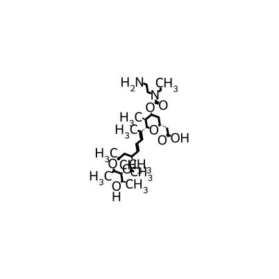 CCN(CCN)C(=O)O[C@@H]1C[C@H](CC(=O)O)O[C@H](/C(C)=C/C=C/[C@@H](C)CC(C)(C)OC(C)[C@@H](OC)[C@@H](C)O)[C@H]1C